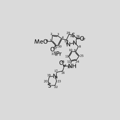 COc1ccc(C2=NN(Cc3ccc(NC(=O)CCN4CCSCC4)cc3)C(=O)SC2)cc1OC(C)C